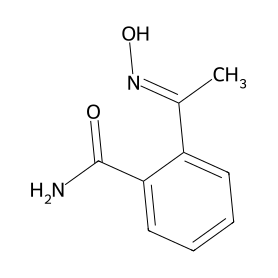 CC(=NO)c1ccccc1C(N)=O